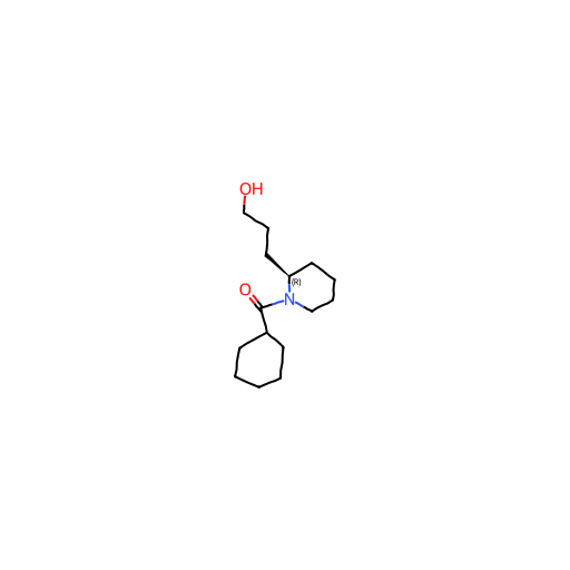 O=C(C1CCCCC1)N1CCCC[C@@H]1CCCO